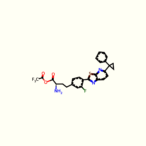 N[C@H](CCc1ccc(-c2nc3ccc(C4(c5ccccc5)CC4)nc3s2)c(F)c1)C(=O)OC(=O)C(F)(F)F